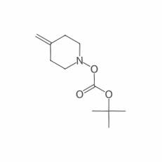 C=C1CCN(OC(=O)OC(C)(C)C)CC1